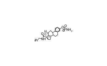 CC(C)CNC(=O)C1=CCC2C3CCc4cc(OS(N)(=O)=O)ccc4C3CC[C@]12C